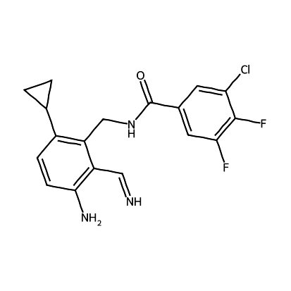 N=Cc1c(N)ccc(C2CC2)c1CNC(=O)c1cc(F)c(F)c(Cl)c1